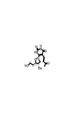 CC(=O)/C=C/c1c(N2C[C@H](O)[C@@H](CCO)O2)[nH]c(=O)[nH]c1=O